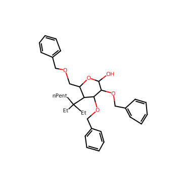 CCCCCC(CC)(CC)C1C(COCc2ccccc2)OC(O)C(OCc2ccccc2)C1OCc1ccccc1